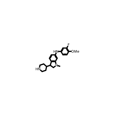 COc1ccc(Nc2ccc3c(c2)N(C)CC3C2CCNCC2)cc1F